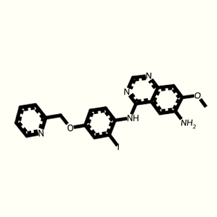 COc1cc2ncnc(Nc3ccc(OCc4ccccn4)cc3I)c2cc1N